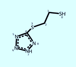 SCCSc1nn[nH]n1